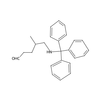 CC(CCC=O)CNC(c1ccccc1)(c1ccccc1)c1ccccc1